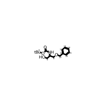 CC(C)(C)OC(=O)NC(CO)COCc1ccccc1